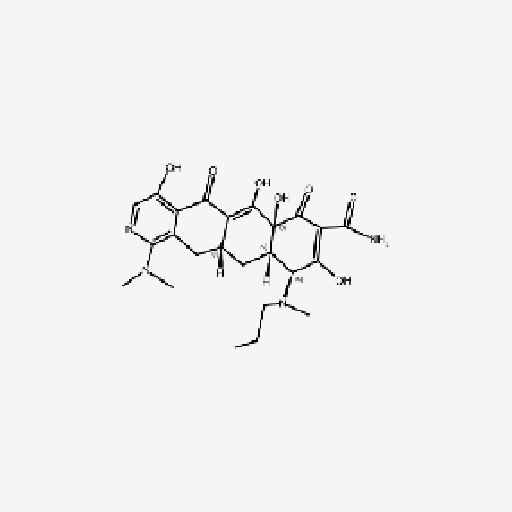 CCCN(C)[C@@H]1C(O)=C(C(N)=O)C(=O)[C@@]2(O)C(O)=C3C(=O)c4c(O)cnc(N(C)C)c4C[C@H]3C[C@@H]12